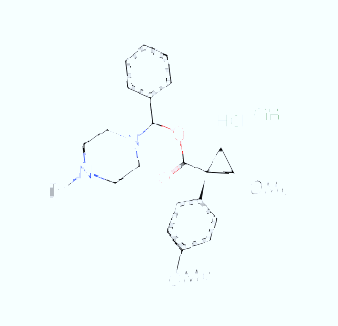 COc1ccc([C@@]2(C(=O)OC(c3ccccc3)N3CCN(C(C)C)CC3)C[C@@H]2OC)cc1.Cl.Cl